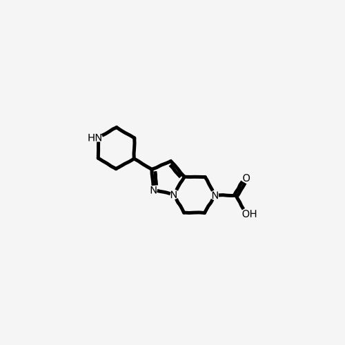 O=C(O)N1CCn2nc(C3CCNCC3)cc2C1